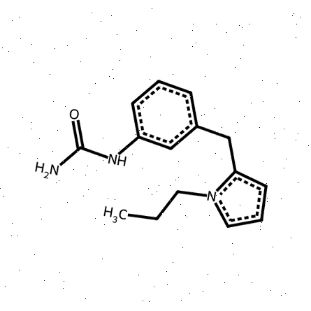 CCCn1cccc1Cc1cccc(NC(N)=O)c1